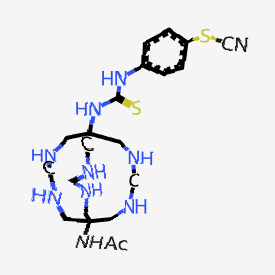 CC(=O)NC12CNCNCC(NC(=S)Nc3ccc(SC#N)cc3)(CNCNC1)CNCNC2